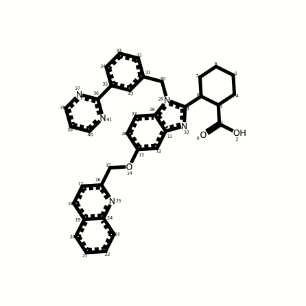 O=C(O)C1CCCCC1c1nc2cc(OCc3ccc4ccccc4n3)ccc2n1Cc1cccc(-c2ncccn2)c1